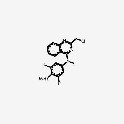 COc1c(Cl)cc(N(C)c2nc(CCl)nc3ccccc23)cc1Cl